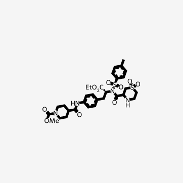 CCOC(=O)[C@H](Cc1ccc(NC(=O)C2CCN(C(=O)OC)CC2)cc1)N(C(=O)C1CS(=O)(=O)CCN1)S(=O)(=O)c1ccc(C)cc1